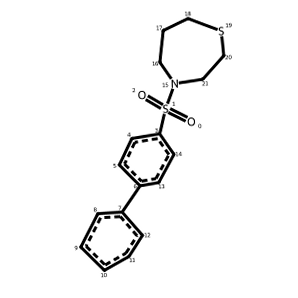 O=S(=O)(c1ccc(-c2ccccc2)cc1)N1CCCSCC1